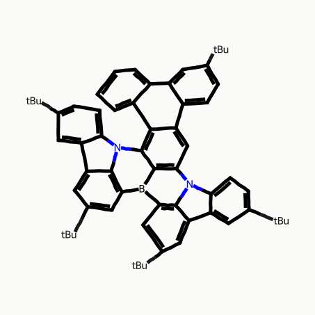 CC(C)(C)c1ccc2c(c1)c1ccccc1c1c3c4c(cc21)-n1c2ccc(C(C)(C)C)cc2c2cc(C(C)(C)C)cc(c21)B4c1cc(C(C)(C)C)cc2c4cc(C(C)(C)C)ccc4n-3c12